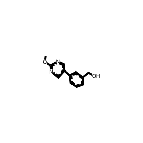 COc1ncc(-c2cccc(CO)c2)cn1